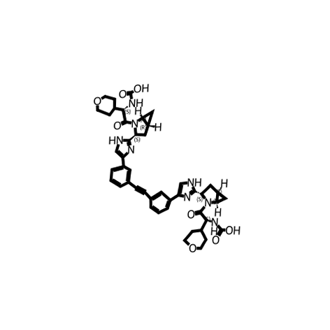 O=C(O)N[C@H](C(=O)N1[C@@H]2C[C@@H]2C[C@H]1c1nc(-c2cccc(C#Cc3cccc(-c4c[nH]c([C@@H]5C[C@H]6C[C@H]6N5C(=O)[C@@H](NC(=O)O)C5CCOCC5)n4)c3)c2)c[nH]1)C1CCOCC1